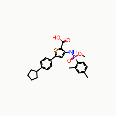 COP(=O)(Nc1cc(-c2ccc(C3CCCC3)cc2)sc1C(=O)O)c1ccc(C)cc1C